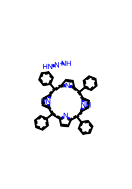 C1=Cc2nc1c(-c1ccccc1)c1ccc([nH]1)c(-c1ccccc1)c1nc(c(-c3ccccc3)c3ccc([nH]3)c2-c2ccccc2)C=C1.N=[N+]=N